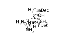 CCCCCCCCCCC(C)C(O)CN(CCN(CCN)CCN)CC(O)C(C)CCCCCCCCCC